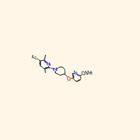 COc1ccc(OC2CCN(c3nc(C)c(C(C)=O)cc3C)CC2)cn1